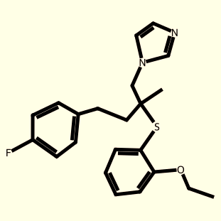 CCOc1ccccc1SC(C)(CCc1ccc(F)cc1)Cn1ccnc1